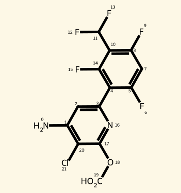 Nc1cc(-c2c(F)cc(F)c(C(F)F)c2F)nc(OC(=O)O)c1Cl